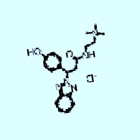 C[N+](C)(C)CCNC(=O)CC(c1ccc(O)cc1)n1nc2ccccc2n1.[Cl-]